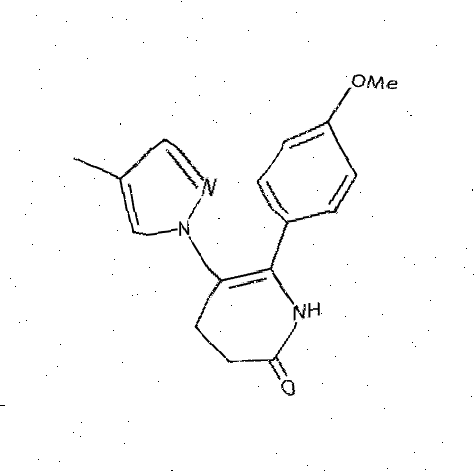 COc1ccc(C2=C(n3cc(C)cn3)CCC(=O)N2)cc1